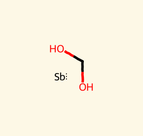 OCO.[Sb]